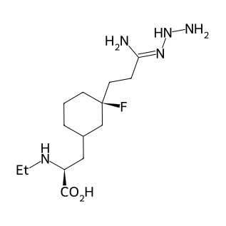 CCN[C@@H](CC1CCC[C@](F)(CC/C(N)=N/NN)C1)C(=O)O